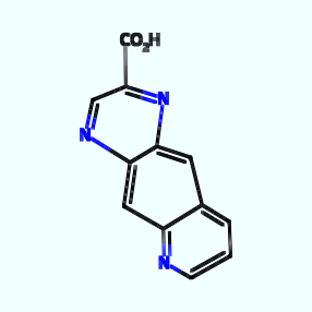 O=C(O)c1cnc2cc3ncccc3cc2n1